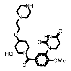 COc1ccc(C(=O)N2CCC(OCCN3CCNCC3)CC2)cc1N1CCC(=O)NC1=O.Cl